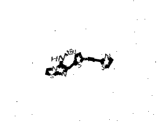 CC(C)(C)Nc1c(-c2ccc(C#Cc3nccs3)s2)nc2sccn12